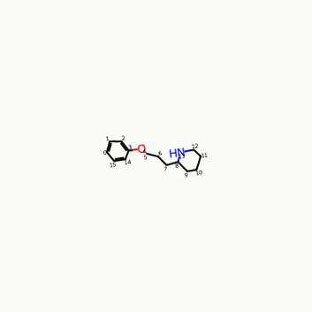 c1ccc(OCCCC2CCCCN2)cc1